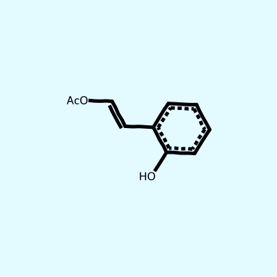 CC(=O)OC=Cc1ccccc1O